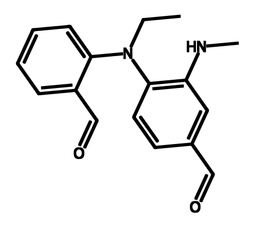 CCN(c1ccccc1C=O)c1ccc(C=O)cc1NC